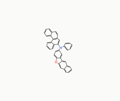 c1ccc(N(c2ccc3oc4cc5ccccc5cc4c3c2)c2cc3ccc4ccccc4c3c3ccccc23)cc1